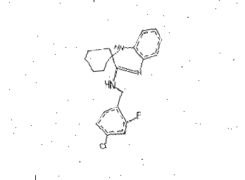 Fc1cc(Cl)ccc1CNC1=Nc2ccccc2NC12CCCCC2